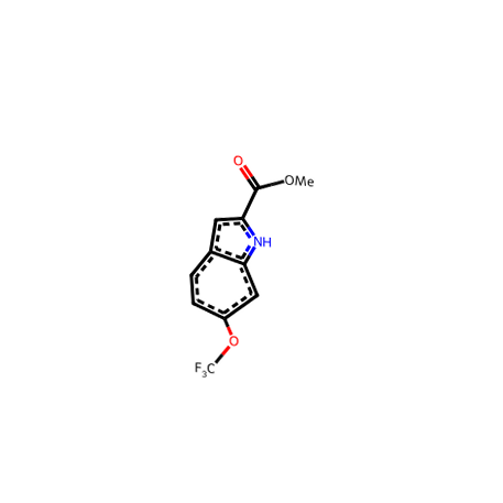 COC(=O)c1cc2ccc(OC(F)(F)F)cc2[nH]1